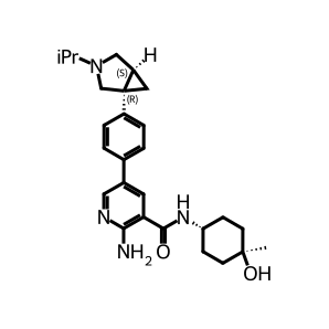 CC(C)N1C[C@H]2C[C@@]2(c2ccc(-c3cnc(N)c(C(=O)N[C@H]4CC[C@](C)(O)CC4)c3)cc2)C1